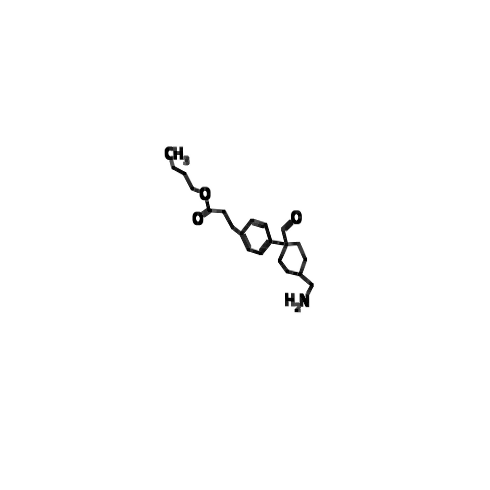 CCCCOC(=O)CCc1ccc(C2(C=O)CCC(CN)CC2)cc1